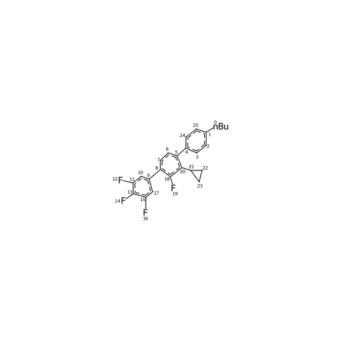 CCCCc1ccc(-c2ccc(-c3cc(F)c(F)c(F)c3)c(F)c2C2CC2)cc1